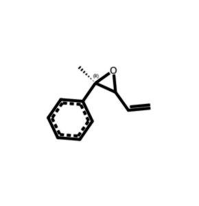 C=CC1O[C@]1(C)c1ccccc1